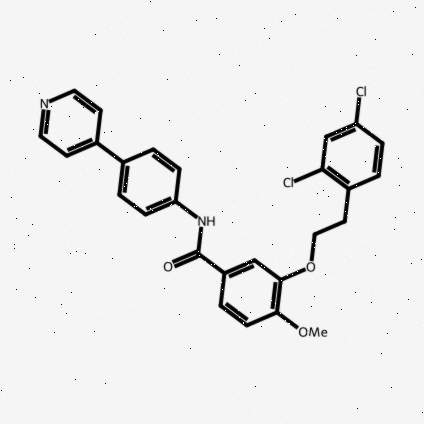 COc1ccc(C(=O)Nc2ccc(-c3ccncc3)cc2)cc1OCCc1ccc(Cl)cc1Cl